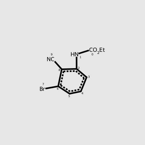 CCOC(=O)Nc1cccc(Br)c1C#N